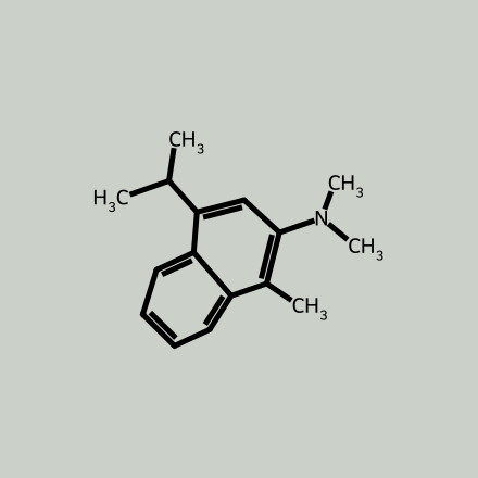 Cc1c(N(C)C)cc(C(C)C)c2ccccc12